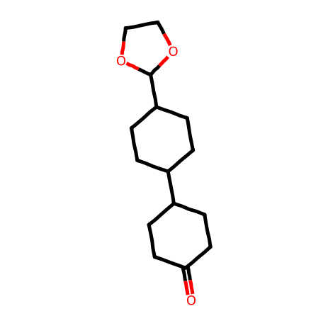 O=C1CCC(C2CCC(C3OCCO3)CC2)CC1